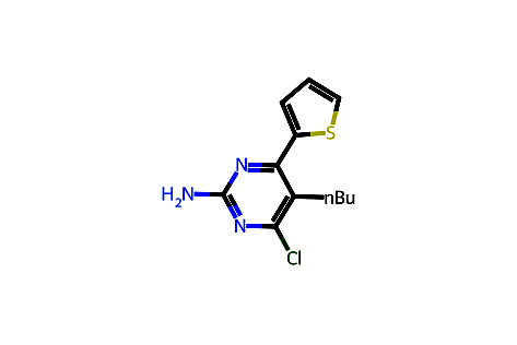 CCCCc1c(Cl)nc(N)nc1-c1cccs1